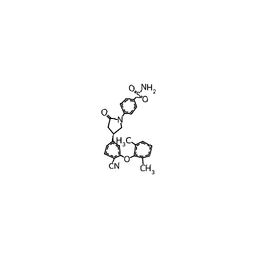 Cc1cccc(C)c1Oc1cc([C@H]2CC(=O)N(c3ccc(S(N)(=O)=O)cc3)C2)ccc1C#N